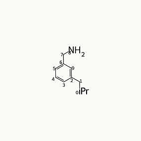 CC(C)Cc1cccc(CN)c1